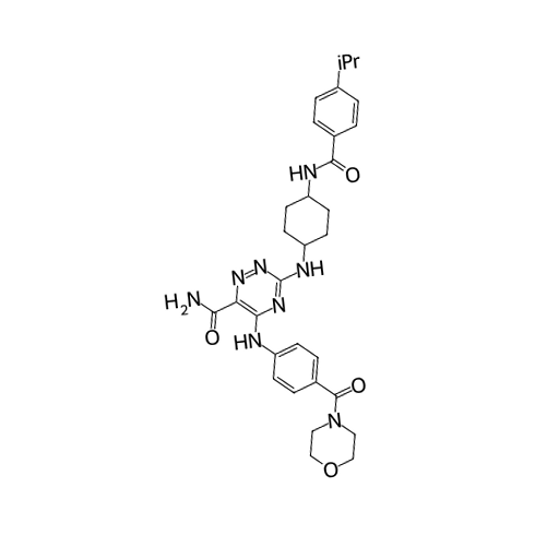 CC(C)c1ccc(C(=O)NC2CCC(Nc3nnc(C(N)=O)c(Nc4ccc(C(=O)N5CCOCC5)cc4)n3)CC2)cc1